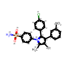 [CH2]Cc1c(-c2cccc([N+](=O)[O-])c2)c(-c2ccc(Cl)cc2)n(-c2ccc(S(N)(=O)=O)cc2)c1C